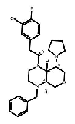 O=C(Cc1ccc(F)c(Cl)c1)N1CCN(Cc2ccccc2)[C@@H]2COC[C@H](N3CCCC3)[C@H]21